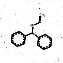 C=CNC(c1ccccc1)c1ccccc1